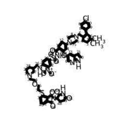 CC1(C)CCC(CN2CCN(c3ccc(C(=O)NS(=O)(=O)c4ccc(NCC5CCCN(CCOCCSc6cccc7c6C(=O)N(C6CCC(=O)NC6=O)C7=O)C5)c([N+](=O)[O-])c4)c(Oc4cnc5[nH]ccc5c4)c3)CC2)=C(c2ccc(Cl)cc2)C1